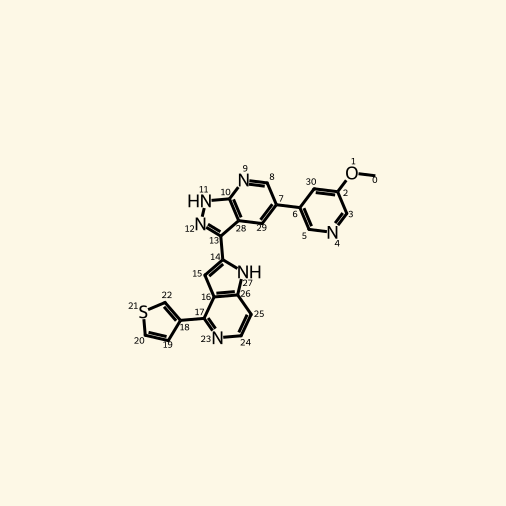 COc1cncc(-c2cnc3[nH]nc(-c4cc5c(-c6ccsc6)nccc5[nH]4)c3c2)c1